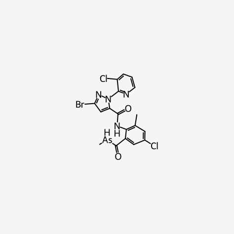 C[AsH]C(=O)c1cc(Cl)cc(C)c1NC(=O)c1cc(Br)nn1-c1ncccc1Cl